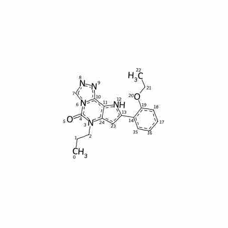 CCCn1c(=O)n2cnnc2c2[nH]c(-c3ccccc3OCC)cc21